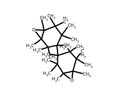 CC1(C)C(C)(C)C(C)(C2(C)C(C)(C)C(C)(C)C3(C)OC3(C)C2(C)C)C(C)(C)C2(C)OC12C